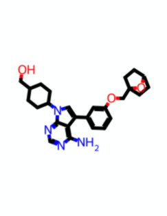 Nc1ncnc2c1c(-c1cccc(OCC34CCC(CC3)O4)c1)cn2C1CCC(CO)CC1